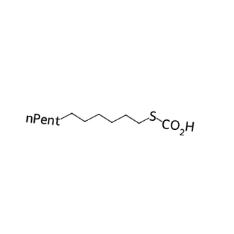 CCCCCCCCCCCSC(=O)O